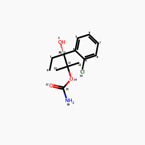 CC[C@@](O)(c1ccccc1Cl)C(C)(C)OC(N)=O